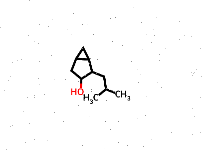 CC(C)CC1C(O)CC2CC21